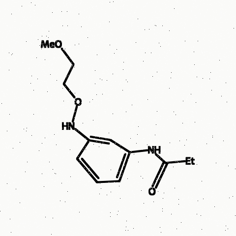 CCC(=O)Nc1cccc(NOCCOC)c1